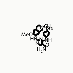 COc1cc2c(cc1Nc1ncc(C(N)=O)c(Nc3ccc(Br)cc3)n1)CN(C)CC2